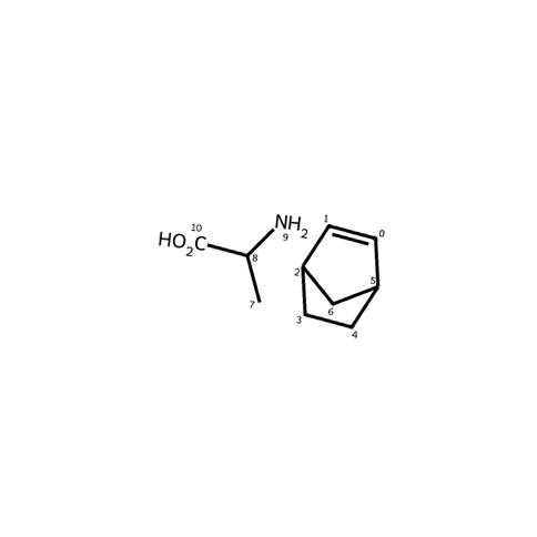 C1=CC2CCC1C2.CC(N)C(=O)O